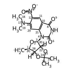 [CH2][C@H]1O[C@@H](n2c(=O)[nH]c(=O)c3cc([N+](=O)[O-])c(N(C)C)cc32)[C@@H]2OC(C)(C)O[C@@H]21